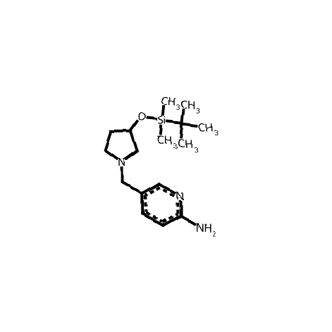 CC(C)(C)[Si](C)(C)OC1CCN(Cc2ccc(N)nc2)C1